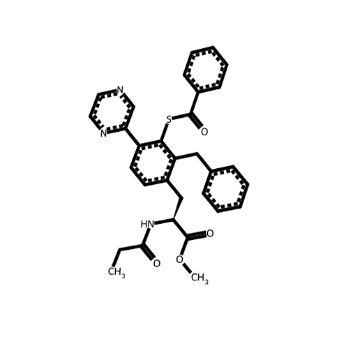 CCC(=O)N[C@@H](Cc1ccc(-c2cnccn2)c(SC(=O)c2ccccc2)c1Cc1ccccc1)C(=O)OC